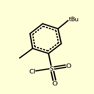 Cc1ccc(C(C)(C)C)cc1S(=O)(=O)Cl